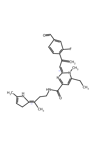 C=C(/C=C1/N=C(C(=O)NCC/C(C)=C2/CC=C(C)N2)C=C(CC)N1C)c1ccc(C=O)cc1F